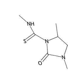 CNC(=S)N1C(=O)N(C)CC1C